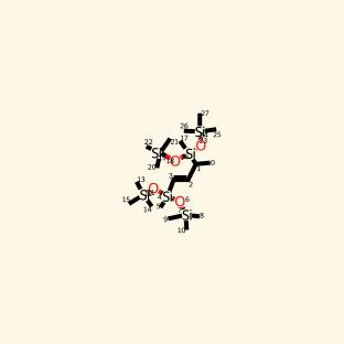 CC(/C=C/[Si](C)(O[Si](C)(C)C)O[Si](C)(C)C)[Si](C)(O[Si](C)(C)C)O[Si](C)(C)C